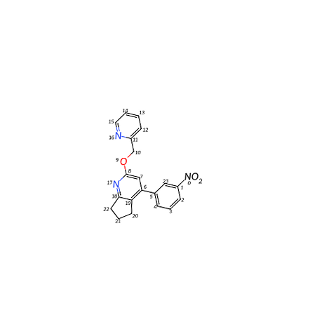 O=[N+]([O-])c1cccc(-c2cc(OCc3ccccn3)nc3c2CCC3)c1